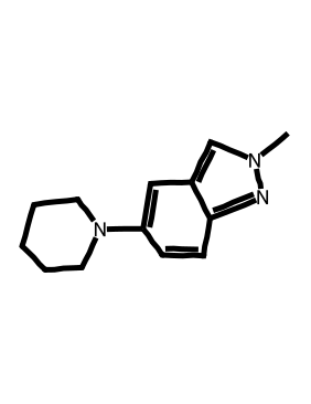 Cn1cc2cc(N3CCCCC3)ccc2n1